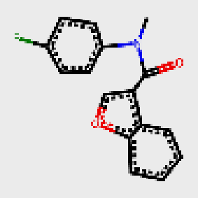 CN(C(=O)c1coc2ccccc12)c1ccc(F)cc1